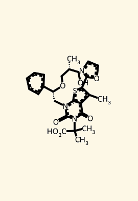 Cc1c(-c2ncco2)sc2c1c(=O)n(C(C)(C)C(=O)O)c(=O)n2C[C@@H](OC[C@H](C)CO)c1ccccc1